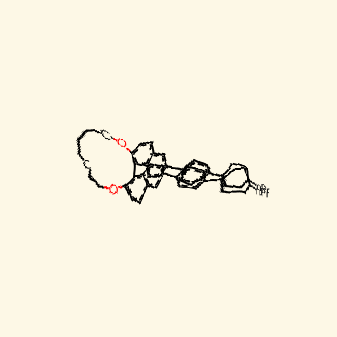 CCCC1CCC(c2ccc(-c3ccc4c5c(ccc4c3)OCCCCCCCOc3ccc4cc(-c6ccc(C7CCC(CCC)CC7)cc6)ccc4c3-5)cc2)CC1